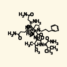 CC(C)[C@H](NC(=O)[C@@H](NC(=O)[C@@]1(N)N(CCCc2ccccc2)CCC1(C(=O)[C@@H](N)CCC(N)=O)C(=O)[C@@H](N)CC(N)=O)C(C)C)C(N)=O